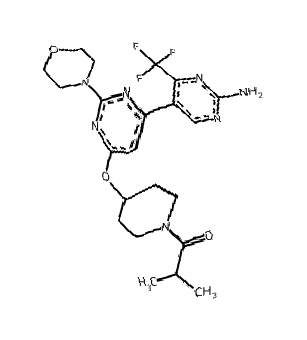 CC(C)C(=O)N1CCC(Oc2cc(-c3cnc(N)nc3C(F)(F)F)nc(N3CCOCC3)n2)CC1